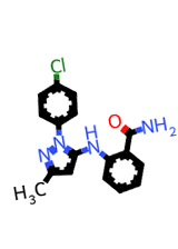 Cc1cc(Nc2ccccc2C(N)=O)n(-c2ccc(Cl)cc2)n1